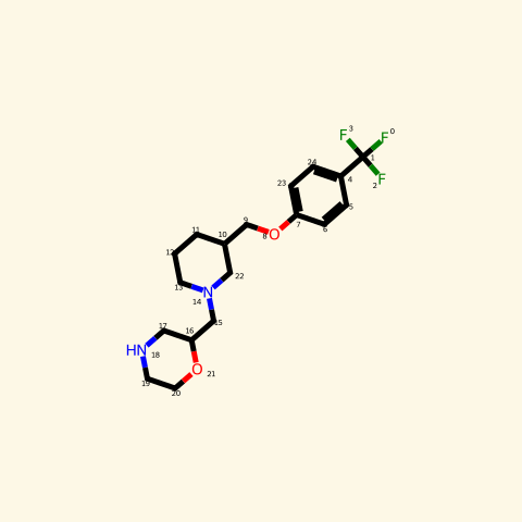 FC(F)(F)c1ccc(OCC2CCCN(CC3CNCCO3)C2)cc1